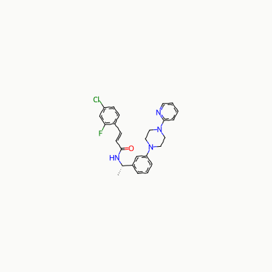 C[C@H](NC(=O)/C=C/c1ccc(Cl)cc1F)c1cccc(N2CCN(c3ccccn3)CC2)c1